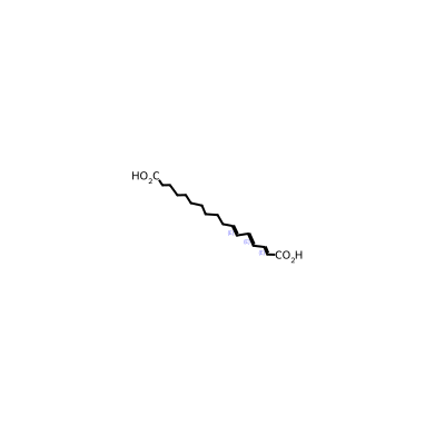 O=C(O)/C=C/C=C/C=C/CCCCCCCCCC(=O)O